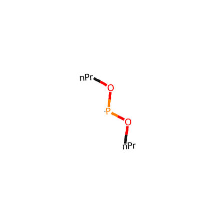 CCCO[P]OCCC